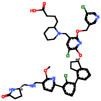 COc1nc(-c2cccc(-c3cccc4c3CC[C@@H]4Oc3nc(OCc4cncc(Cl)c4)c(CN4CCCCC4CCCC(=O)O)cc3Cl)c2Cl)ccc1CNC[C@@H]1CCC(=O)N1